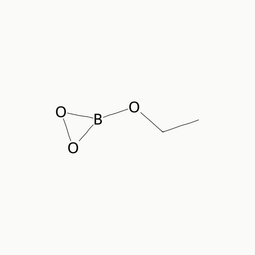 CCOB1OO1